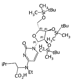 CCN(c1ccn([C@@H]2O[C@H](CO[Si](C)(C)C(C)(C)C)[C@@H](O[Si](C)(C)C(C)(C)C)[C@H]2O[Si](C)(C)C(C)(C)C)c(=O)n1)C(CC(C)C)C(=O)O